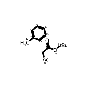 CC(=O)CC(=O)OC(C)(C)C.Cc1ccccc1